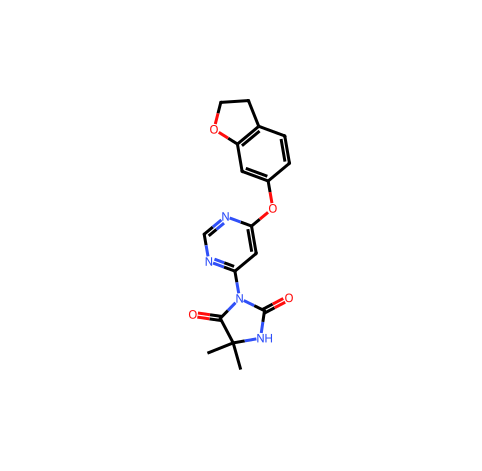 CC1(C)NC(=O)N(c2cc(Oc3ccc4c(c3)OCC4)ncn2)C1=O